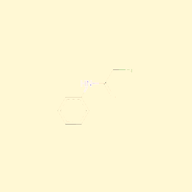 O=C(CBr)Nc1cc[c]cc1